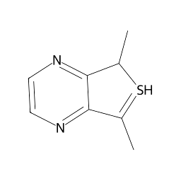 CC1=[SH]C(C)c2nccnc21